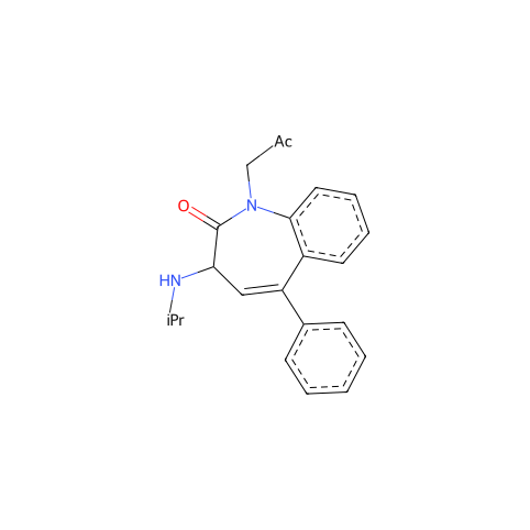 CC(=O)CN1C(=O)C(NC(C)C)C=C(c2ccccc2)c2ccccc21